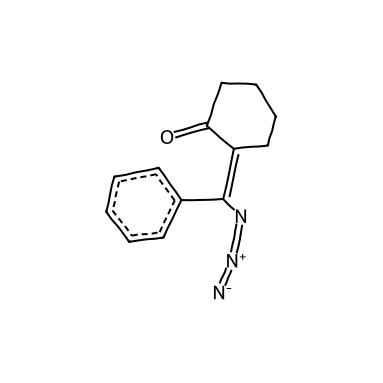 [N-]=[N+]=NC(=C1CCCCC1=O)c1ccccc1